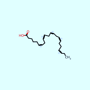 CC/C=C\CC/C=C\C/C=C\C/C=C\C/C=C\CCCCC(=O)O